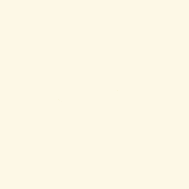 CSc1ccccc1-c1cc2ccccc2s1